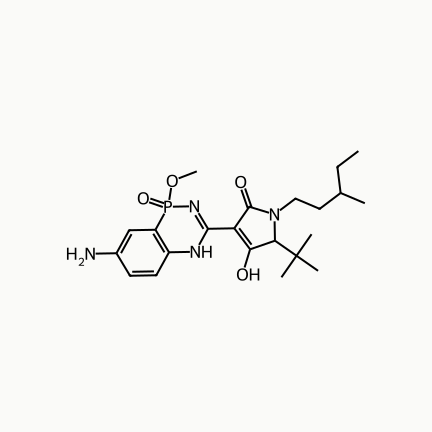 CCC(C)CCN1C(=O)C(C2=NP(=O)(OC)c3cc(N)ccc3N2)=C(O)C1C(C)(C)C